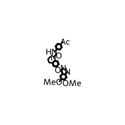 COc1cc2ncnc(Oc3ccc4c(c3)CCCN4C(=O)Nc3ccc(C(C)=O)cc3)c2cc1OC